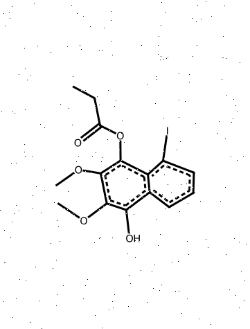 CCC(=O)Oc1c(OC)c(OC)c(O)c2cccc(I)c12